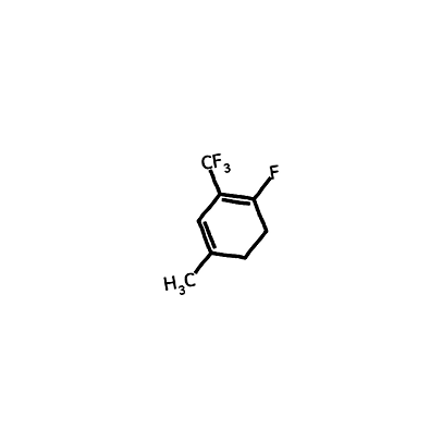 CC1=CC(C(F)(F)F)=C(F)CC1